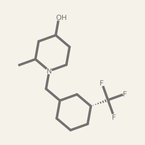 CC1CC(O)CCN1CC1CCC[C@@H](C(F)(F)F)C1